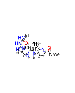 [2H]C([2H])([2H])c1nc(C(=O)NC)ccc1N1CCN(Cc2cnc(NC(=O)NCC)n2C)CC1